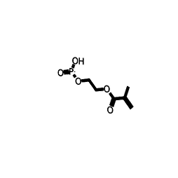 C=C(C)C(=O)OCCO[P](=O)O